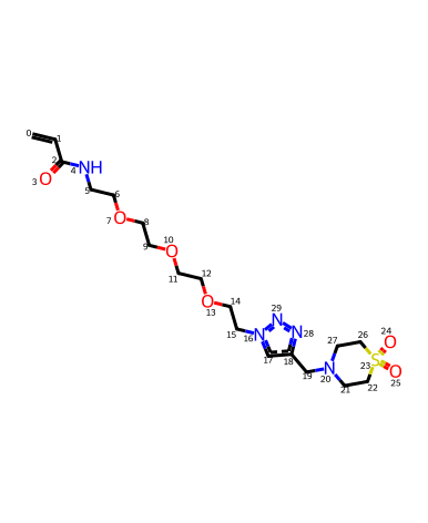 C=CC(=O)NCCOCCOCCOCCn1cc(CN2CCS(=O)(=O)CC2)nn1